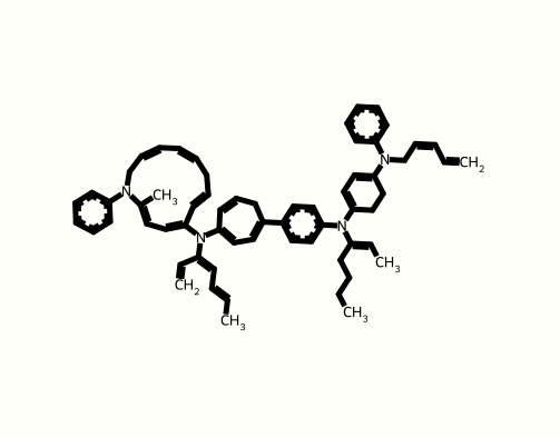 C=C/C=C\CN(C1=CC=C(N(/C(=C/C)CCCC)c2ccc(C3=CC=C(N(/C(C=C)=C/C=C/C)C4=C/C=C(\C)N(c5ccccc5)C/C=C\C=C/C\C=C\4)C=CC3)cc2)CC1)c1ccccc1